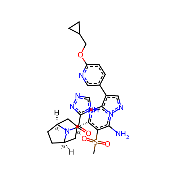 CS(=O)(=O)c1c([C@@H]2C[C@H]3CC[C@@H](C2)N3C(=O)c2nnc[nH]2)nc2c(-c3ccc(OCC4CC4)nc3)cnn2c1N